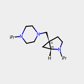 CC(C)N1CCN(C[C@@]23CCN(C(C)C)[C@@H]2C3)CC1